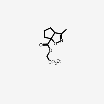 CCOC(=O)COC(=O)C12CCCC1C(C)=NO2